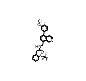 COc1cccc(-c2ccc(CNC(=O)Cc3ccccc3OC(F)(F)F)c3cnccc23)c1